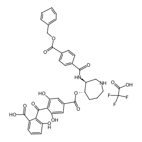 O=C(N[C@H]1CNCCC[C@@H]1OC(=O)c1cc(O)c(C(=O)c2c(O)cccc2C(=O)O)c(O)c1)c1ccc(C(=O)OCc2ccccc2)cc1.O=C(O)C(F)(F)F